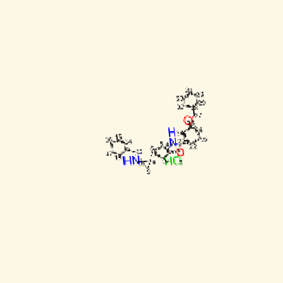 Cl.O=C(Nc1ccc([C@@H]2C[C@H]2NCc2ccccc2)cc1)c1cccc(OCc2ccccc2)c1